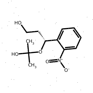 CC(C)(O)O[C@H](CCO)c1ccccc1[N+](=O)[O-]